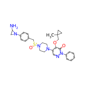 CC1(COc2c(N3CCN([S+]([O-])Cc4ccc(N5CC5N)cc4)CC3)cnn(-c3ccccc3)c2=O)CC1